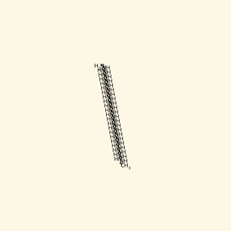 CCNNNNNNNNNNNNNNNNNNNNNNNNNNNNNNNNNNNNNNNNNNNN